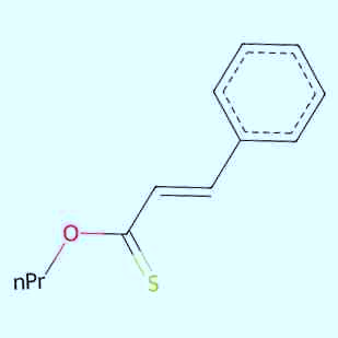 [CH2]CCOC(=S)C=Cc1ccccc1